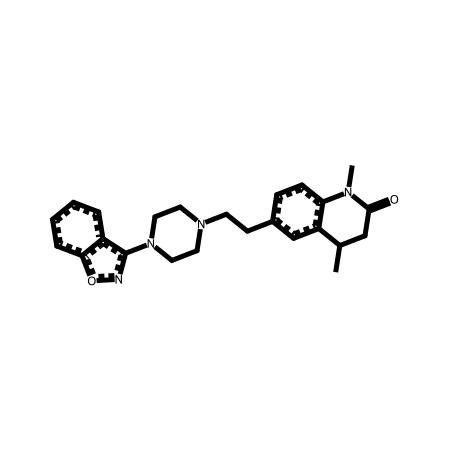 CC1CC(=O)N(C)c2ccc(CCN3CCN(c4noc5ccccc45)CC3)cc21